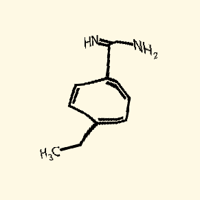 CCc1ccc(C(=N)N)cc1